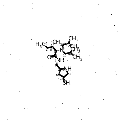 CC[C@H](C)[C@@H](C(=O)NCC1CC(S)CN1)N(CC(C)C)CC(C)C